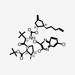 C=CCCC[C@@H]1CC(=C)C[C@H]1OC(=O)N[C@H](C(=O)N1C[C@H](Oc2nc3cc(Cl)ccc3nc2Cl)[C@@H](C)[C@H]1C(=O)OC(C)(C)C)C(C)(C)C